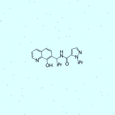 CC(C)C(NC(=O)c1ccnn1C(C)C)c1ccc2cccnc2c1O